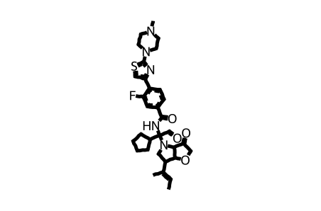 CC=C(C)C1CN(C(C=O)(NC(=O)c2ccc(-c3csc(N4CCN(C)CC4)n3)c(F)c2)C2CCCC2)C2C(=O)COC12